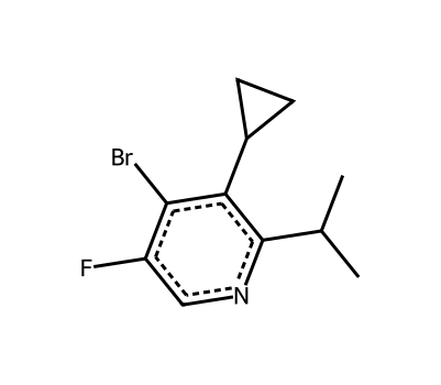 CC(C)c1ncc(F)c(Br)c1C1CC1